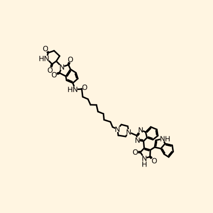 O=C1CCC(N2C(=O)c3ccc(NC(=O)CCCCCCCCCN4CCN(c5nc(C6=C(c7c[nH]c8ccccc78)C(=O)NC6=O)c6ccccc6n5)CC4)cc3C2=O)C(=O)N1